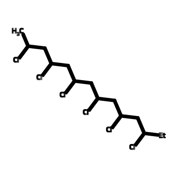 CCC(Cl)CC(Cl)CC(Cl)CC(Cl)CC(Cl)CC(C)Cl